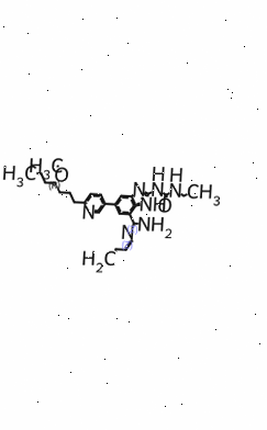 C=C/C=C\N=C(/N)c1cc(-c2ccc(CCC[C@@H](CCC)OC)nc2)cc2nc(NC(=O)NCC)[nH]c12